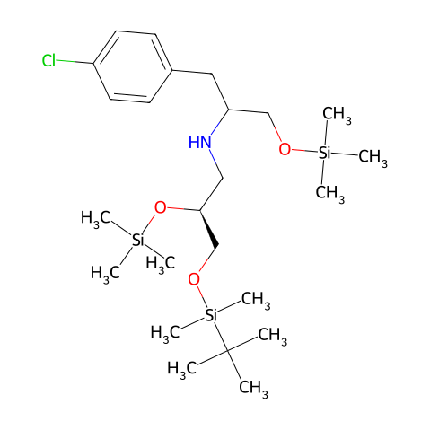 CC(C)(C)[Si](C)(C)OC[C@H](CNC(CO[Si](C)(C)C)Cc1ccc(Cl)cc1)O[Si](C)(C)C